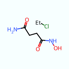 CCCl.NC(=O)CCC(=O)NO